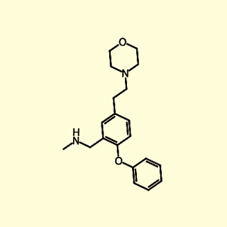 CNCc1cc(CCN2CCOCC2)ccc1Oc1ccccc1